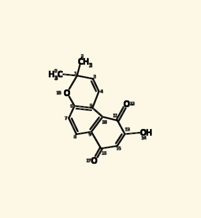 CC1(C)C=Cc2c(ccc3c2C(=O)C(O)=CC3=O)O1